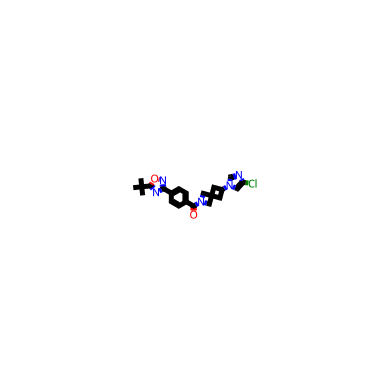 CC(C)(C)c1nc(-c2ccc(C(=O)N3CC4(CC(n5cnc(Cl)c5)C4)C3)cc2)no1